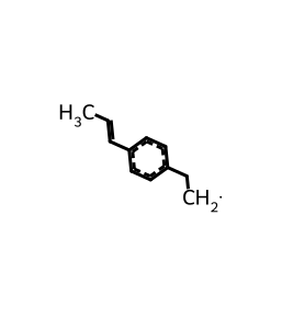 [CH2]Cc1ccc(C=CC)cc1